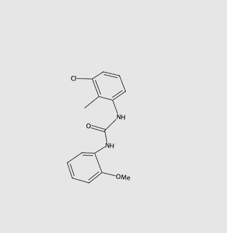 COc1ccccc1NC(=O)Nc1cccc(Cl)c1C